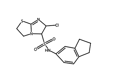 O=S(=O)(Nc1ccc2c(c1)CCC2)C1C(Cl)N=C2SCCN21